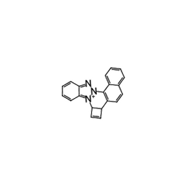 C1=CC2C1c1ccc3ccccc3c1-n1nc3ccccc3[n+]12